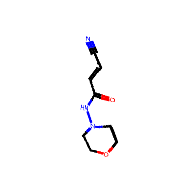 N#CC=CC(=O)NN1CCOCC1